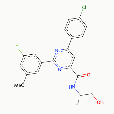 COc1cc(F)cc(-c2nc(C(=O)N[C@@H](C)CO)cc(-c3ccc(Cl)cc3)n2)c1